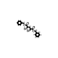 O=C(OCc1ccccc1)C(Br)CC(Br)C(=O)OCc1ccccc1